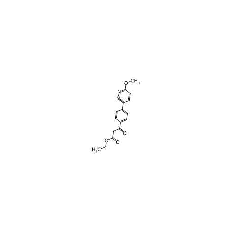 CCOC(=O)CC(=O)c1ccc(-c2ccc(OC)nn2)cc1